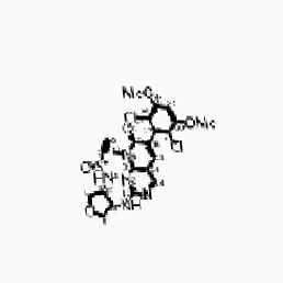 C#C[S+]([O-])N[C@H]1COC[C@H]1Nc1ncc2cc(-c3c(Cl)c(OC)cc(OC)c3Cl)c(=O)n(C)c2n1